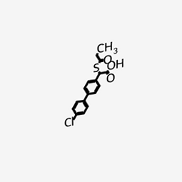 CCC(=O)SC(C(=O)O)c1ccc(-c2ccc(Cl)cc2)cc1